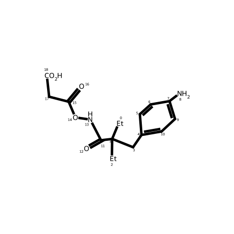 CCC(CC)(Cc1ccc(N)cc1)C(=O)NOC(=O)CC(=O)O